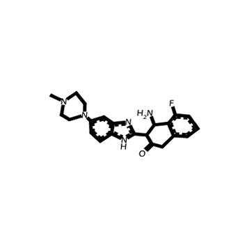 CN1CCN(c2ccc3[nH]c(C4C(=O)Cc5cccc(F)c5C4N)nc3c2)CC1